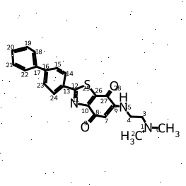 CN(C)CCNC1=CC(=O)c2nc(-c3ccc(-c4ccccc4)cc3)sc2C1=O